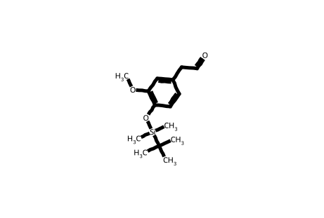 COc1cc(CC=O)ccc1O[Si](C)(C)C(C)(C)C